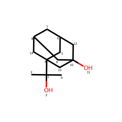 CC(C)(O)C12CC3CC(CC(O)(C3)C1)C2